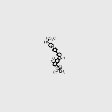 CCN(C)S(=O)(=O)Nc1ccc(F)c(C(=O)c2c[nH]c3ncc(-c4ccc(N5CCC(NCC(=O)O)CC5)cc4)cc23)c1F